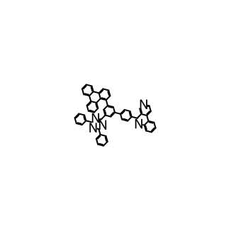 c1ccc(-c2nc(-c3ccccc3)nc(-c3cc(-c4ccc(-c5nc6ccccc6c6ccncc56)cc4)cc(-c4cccc5c6ccccc6c6ccccc6c45)c3)n2)cc1